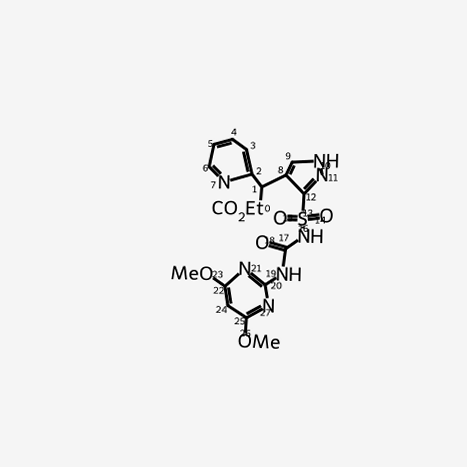 CCOC(=O)C(c1ccccn1)c1c[nH]nc1S(=O)(=O)NC(=O)Nc1nc(OC)cc(OC)n1